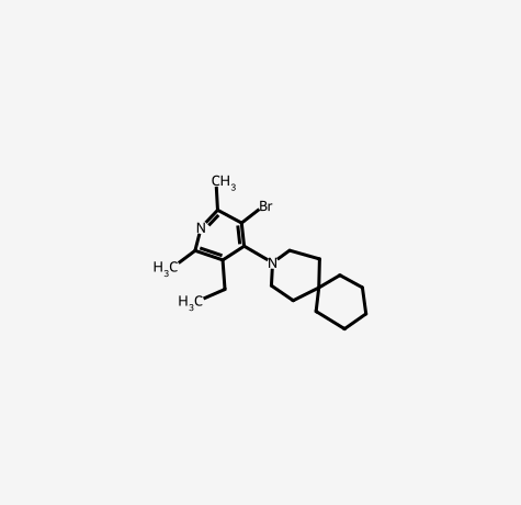 CCc1c(C)nc(C)c(Br)c1N1CCC2(CCCCC2)CC1